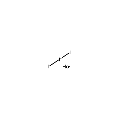 I[I-]I.[Ho]